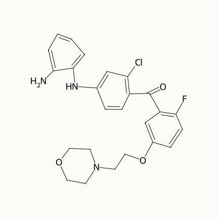 Nc1ccccc1Nc1ccc(C(=O)c2cc(OCCN3CCOCC3)ccc2F)c(Cl)c1